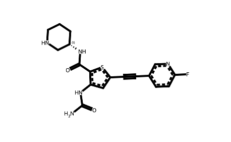 NC(=O)Nc1cc(C#Cc2ccc(F)nc2)sc1C(=O)N[C@H]1CCCNC1